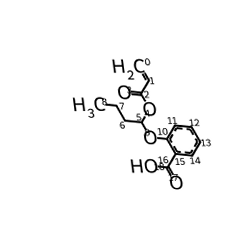 C=CC(=O)OC(CCC)Oc1ccccc1C(=O)O